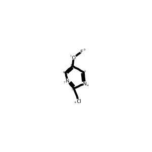 FOc1cnc(Cl)nc1